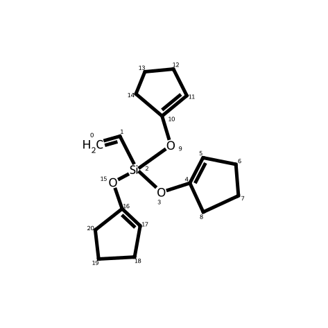 C=C[Si](OC1=CCCC1)(OC1=CCCC1)OC1=CCCC1